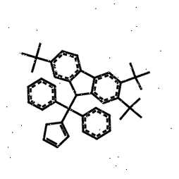 CC(C)(C)c1ccc2c(c1)C(C(C1=CC=CC1)(c1ccccc1)c1ccccc1)c1cc(C(C)(C)C)c(C(C)(C)C)cc1-2